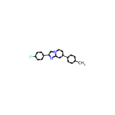 Cc1ccc(-c2ccn3cc(-c4ccc(F)cc4)nc3c2)cc1